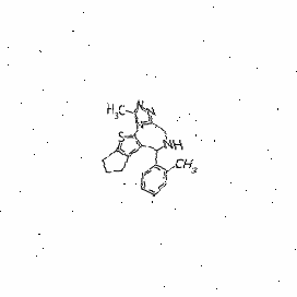 Cc1ccccc1C1NCc2nnc(C)n2-c2sc3c(c21)CCC3